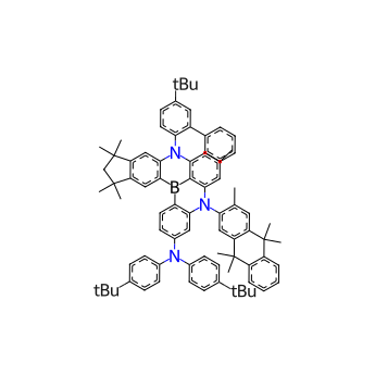 Cc1cc2c3c(c1)N(c1ccc(C(C)(C)C)cc1-c1ccccc1)c1cc4c(cc1B3c1ccc(N(c3ccc(C(C)(C)C)cc3)c3ccc(C(C)(C)C)cc3)cc1N2c1cc2c(cc1C)C(C)(C)c1ccccc1C2(C)C)C(C)(C)CC4(C)C